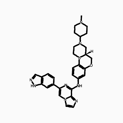 CN1CCC(N2CCN3c4ccc(Nc5nc(-c6ccc7cn[nH]c7c6)cn6ccnc56)cc4OC[C@H]3C2)CC1